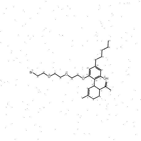 C=C(C)C1CCC(C)=CC1c1c(O)cc(CCCCC)cc1OCCOCCOCCBr